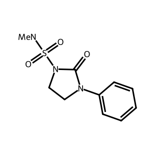 CNS(=O)(=O)N1CCN(c2ccccc2)C1=O